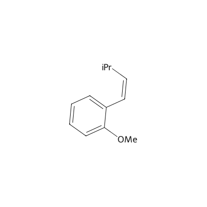 COc1ccccc1/C=C\C(C)C